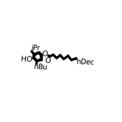 CCCCCCCCCCCCCCCCCC(=O)Oc1cc(CCCC)c(O)c(CC(C)C)c1